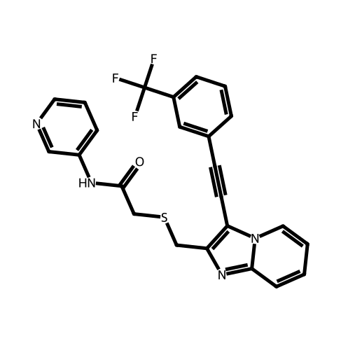 O=C(CSCc1nc2ccccn2c1C#Cc1cccc(C(F)(F)F)c1)Nc1cccnc1